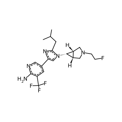 CC(C)Cc1nc(-c2cnc(N)c(C(F)(F)F)c2)cn1[C@@H]1[C@@H]2CN(CCF)C[C@@H]21